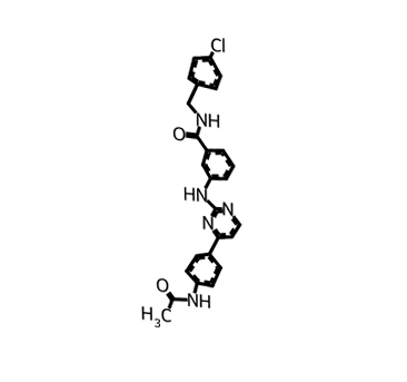 CC(=O)Nc1ccc(-c2ccnc(Nc3cccc(C(=O)NCc4ccc(Cl)cc4)c3)n2)cc1